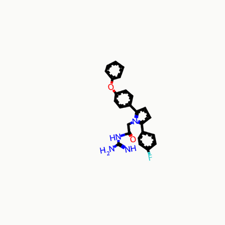 N=C(N)NC(=O)Cn1c(-c2ccc(F)cc2)ccc1-c1ccc(Oc2ccccc2)cc1